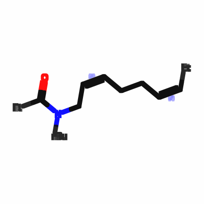 CC/C=C\CC/C=C\CN(CCCC)C(=O)CC